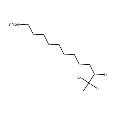 [Li][CH](CCCCCCCCCCCCCCCCCC)[C]([Li])([Li])[Li]